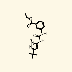 CCOC(=O)c1cccc(NC(=O)Nc2cc(C(C)(C)C)nn2C)c1